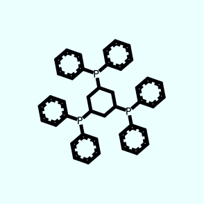 c1ccc(P(c2ccccc2)C2CC(P(c3ccccc3)c3ccccc3)CC(P(c3ccccc3)c3ccccc3)C2)cc1